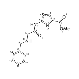 COC(=O)c1csc(NC(=O)CNCc2ccccc2)n1